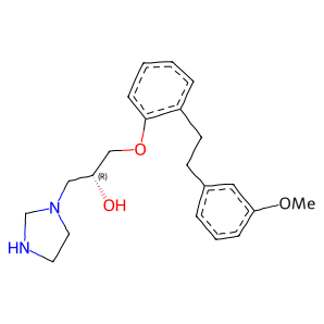 COc1cccc(CCc2ccccc2OC[C@H](O)CN2CCNC2)c1